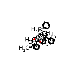 C=CC(=O)OC(=O)C1CCCN1[Si](O[Si](C)(C)c1ccccc1)(O[Si](C)(C)c1ccccc1)O[Si](C)(C)c1ccccc1